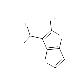 O=Cc1sc2ccsc2c1C(F)F